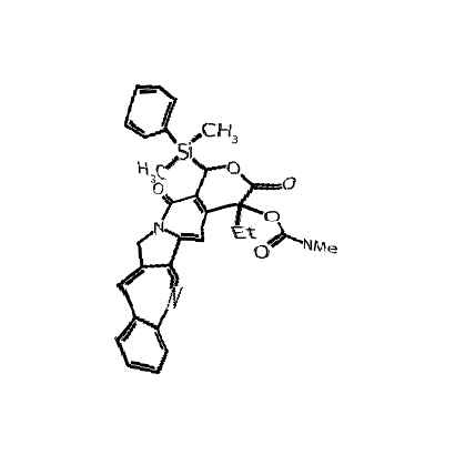 CCC1(OC(=O)NC)C(=O)OC([Si](C)(C)c2ccccc2)c2c1cc1n(c2=O)Cc2cc3ccccc3nc2-1